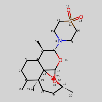 CC1CCC2[C@@H](C)[C@H](N3CCS(=O)(=O)CC3)OC3O[C@]4(C)CC[C@@H]1C32OO4